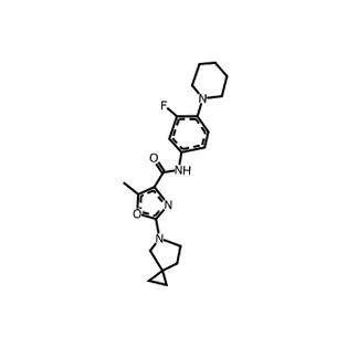 Cc1oc(N2CCC3(CC3)C2)nc1C(=O)Nc1ccc(N2CCCCC2)c(F)c1